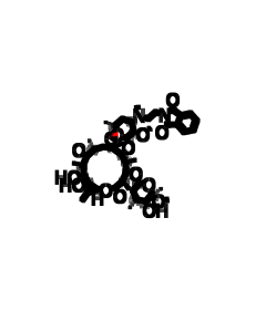 CO[C@H]1[C@H](O[C@@H]2[C@@H](C)[C@H](O[C@H]3C[C@@H](C)[C@H](O)[C@](C)(OC)O3)[C@@H](C)C(=O)O[C@@H]3C(C)[C@]3(O)[C@H](O)[C@@H](C)C(=O)[C@H](C)C[C@]2(C)OC)O[C@H](C)C[C@@H]1N(C)CCN1C(=O)c2ccccc2C1=O